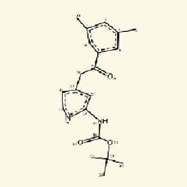 Cc1cc(C)cc(C(=O)Cc2ccnc(NC(=O)OC(C)(C)C)c2)c1